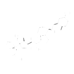 C=C1/C(=C\C=C2/CCC[C@@]3(C)C2CC[C@@H]3[C@H](C)/C=C/C(=O)C(CC)(CC)P(=O)(OC(C)C)OC(C)C)C[C@@H](O)C[C@@H]1O